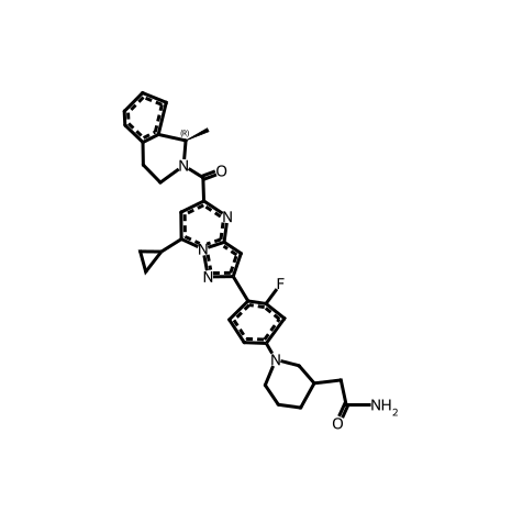 C[C@@H]1c2ccccc2CCN1C(=O)c1cc(C2CC2)n2nc(-c3ccc(N4CCCC(CC(N)=O)C4)cc3F)cc2n1